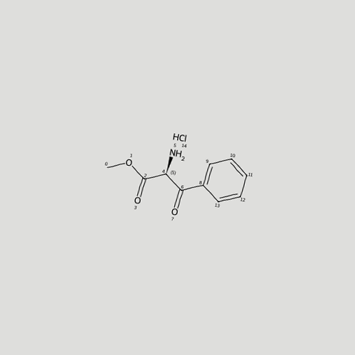 COC(=O)[C@@H](N)C(=O)c1ccccc1.Cl